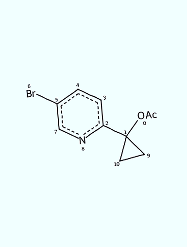 CC(=O)OC1(c2ccc(Br)cn2)CC1